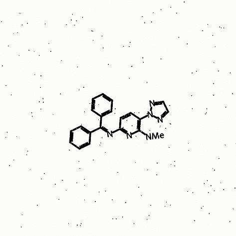 CNc1nc(N=C(c2ccccc2)c2ccccc2)ccc1-n1nccn1